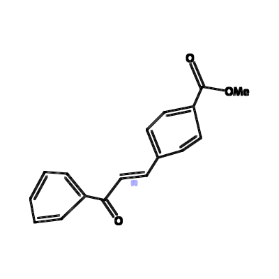 COC(=O)c1ccc(/C=C/C(=O)c2ccccc2)cc1